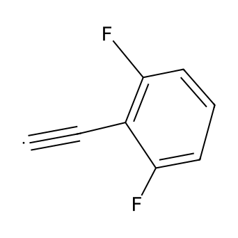 [C]#Cc1c(F)cccc1F